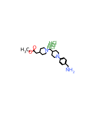 COC(=O)CC1CCN(CC2CCN(c3ccc(CN)cc3)CC2)CC1.Cl.Cl.Cl